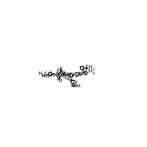 CC(C)c1ccccc1[C@@H]1CCCN1C1CC2(CCN(c3ccc(C(=O)NS(=O)(=O)c4cc(N=O)c(NC[C@H]5CC[C@](C)(O)CC5)nc4C(F)(F)F)c(Oc4cnc5[nH]ccc5c4)c3)CC2)C1